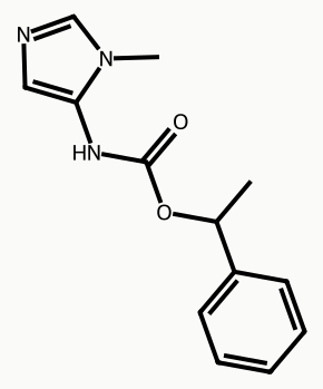 CC(OC(=O)Nc1cncn1C)c1ccccc1